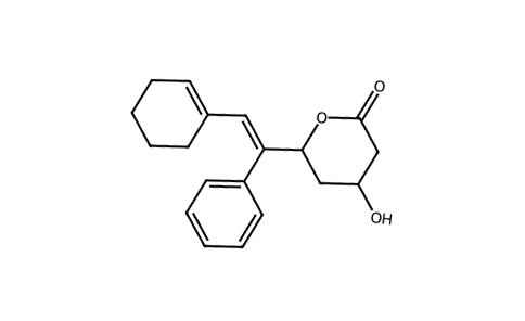 O=C1CC(O)CC(C(=CC2=CCCCC2)c2ccccc2)O1